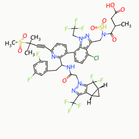 CC(CC(=O)O)C(=O)N(Cc1nn(CC(F)(F)F)c2c(-c3ccc(C#CC(C)(C)S(C)(=O)=O)nc3C(Cc3cc(F)cc(F)c3)NC(=O)Cn3nc(C(F)(F)F)c4c3C(F)(F)[C@@H]3C[C@H]43)ccc(Cl)c12)[SH](=O)=O